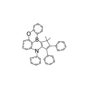 CC1(C)C2=C(C(c3ccccc3)=C1c1ccccc1)N(c1ccccc1)c1cccc3c1B2c1ccccc1O3